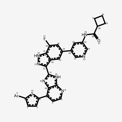 CC(=O)c1ccc(-c2ccnc3[nH]c(-c4n[nH]c5c(F)cc(-c6cncc(NC(=O)C7CCC7)c6)cc45)nc23)s1